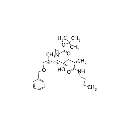 C=C(C[C@H](O)[C@H](C[C@@H](C)COCc1ccccc1)NC(=O)OC(C)(C)C)C(=O)NCCCC